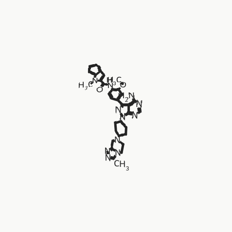 COc1cc(-c2nn([C@H]3CC[C@H](N4CCn5c(C)nnc5C4)CC3)c3ncnc(N)c23)ccc1NC(=O)c1cc2ccccc2n1C